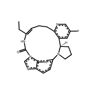 CCC1=CCCc2ncc(F)cc2[C@H]2CCCN2c2ccc3ncn(c3n2)C(=O)N1